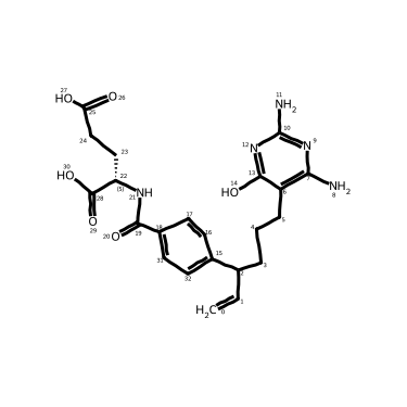 C=CC(CCCc1c(N)nc(N)nc1O)c1ccc(C(=O)N[C@@H](CCC(=O)O)C(=O)O)cc1